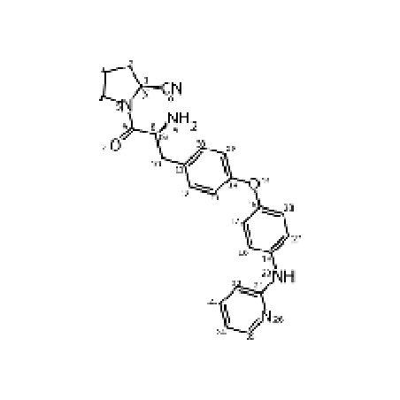 N#C[C@@H]1CCCN1C(=O)[C@@H](N)Cc1ccc(Oc2ccc(Nc3ccccn3)cc2)cc1